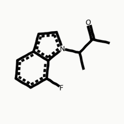 CC(=O)C(C)n1ccc2cccc(F)c21